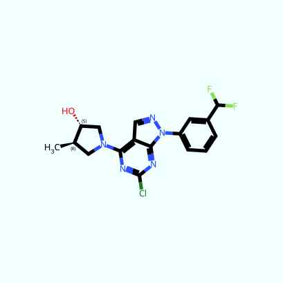 C[C@@H]1CN(c2nc(Cl)nc3c2cnn3-c2cccc(C(F)F)c2)C[C@H]1O